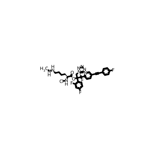 CNNCCCC[C@H](NCl)C(=O)OC(Cn1cnnn1)(c1ccc(F)cc1F)C(F)(F)c1ccc(C#Cc2ccc(F)cc2)cn1